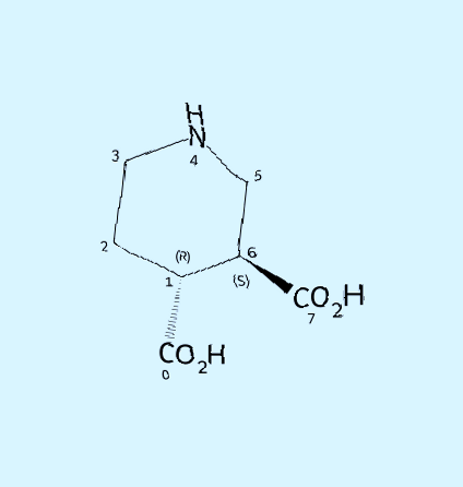 O=C(O)[C@@H]1CCNC[C@H]1C(=O)O